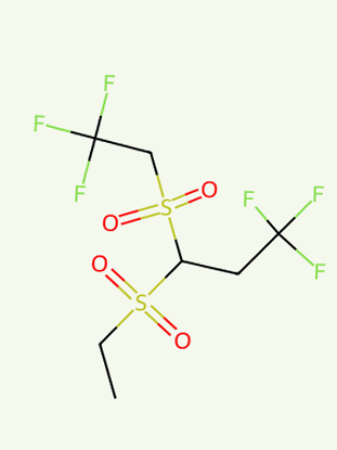 CCS(=O)(=O)C(CC(F)(F)F)S(=O)(=O)CC(F)(F)F